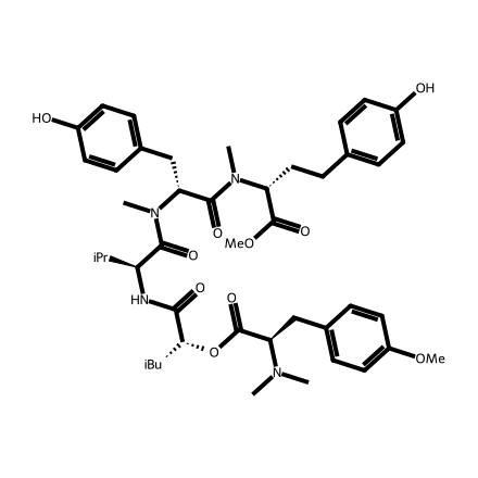 CC[C@@H](C)[C@@H](OC(=O)[C@@H](Cc1ccc(OC)cc1)N(C)C)C(=O)N[C@H](C(=O)N(C)[C@H](Cc1ccc(O)cc1)C(=O)N(C)[C@H](CCc1ccc(O)cc1)C(=O)OC)C(C)C